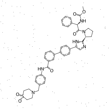 COC(=O)N[C@@H](C(=O)N1CCC[C@H]1c1ncc(-c2ccc(-c3cccc(C(=O)Nc4ccc(CN5CCS(=O)(=O)CC5)cc4)c3)cc2)[nH]1)c1ccccc1